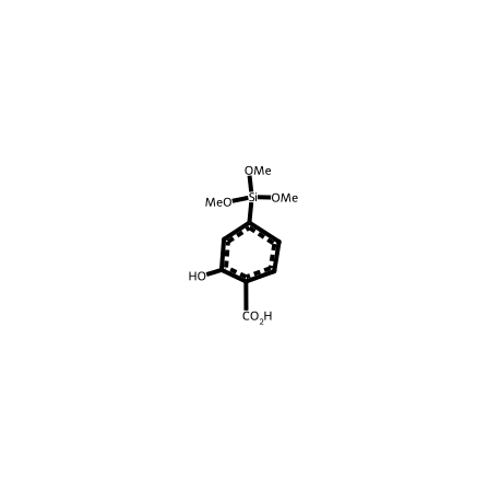 CO[Si](OC)(OC)c1ccc(C(=O)O)c(O)c1